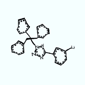 [Li][c]1cccc(-c2nnn(C(c3ccccc3)(c3ccccc3)c3ccccc3)n2)c1